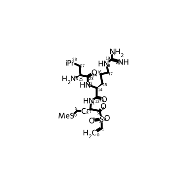 C=CS(=O)(=O)C(=O)[C@H](CCSC)NC(=O)[C@H](CCCNC(=N)N)NC(=O)[C@@H](N)CC(C)C